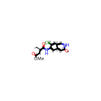 COC(=O)C[C@@H](C)C(=O)Nc1cc2cc(=O)[nH]cc2cc1Cl